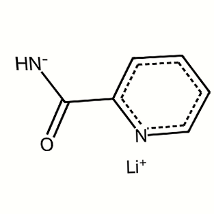 [Li+].[NH-]C(=O)c1ccccn1